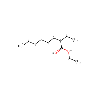 CCCCCCC(CC)C(=O)OCC